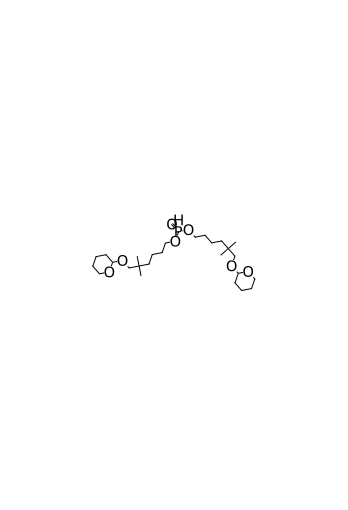 CC(C)(CCCCO[PH](=O)OCCCCC(C)(C)COC1CCCCO1)COC1CCCCO1